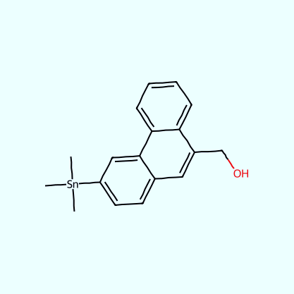 [CH3][Sn]([CH3])([CH3])[c]1ccc2cc(CO)c3ccccc3c2c1